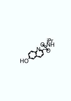 CC(C)NS(=O)(=O)c1ccc2cc(O)ccc2n1